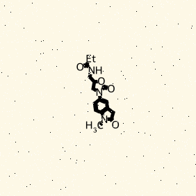 CCC(=O)NCC1CN(c2ccc3c(c2)CC(=O)N3C)C(=O)O1